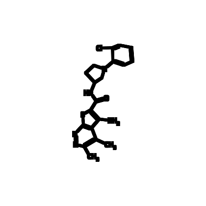 Cc1nnc2sc(C(=O)NC3CCN(c4ccccc4Cl)C3)c(N)c2c1C